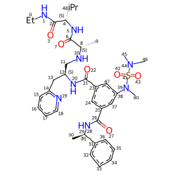 CCNC(=O)[C@@H](NC(=O)[C@H](C)NC[C@H](Cc1ccccn1)NC(=O)c1cc(C(=O)N[C@H](C)c2ccccc2)cc(N(C)S(=O)(=O)N(C)C)c1)C(C)C